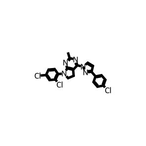 Cc1nc2c(c(-n3ccc(-c4ccc(Cl)cc4)n3)n1)CCN2c1ccc(Cl)cc1Cl